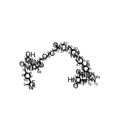 Cc1ncsc1-c1ccc(CNC(=O)[C@@H]2C[C@@H](O)CN2C(=O)C(NC(=O)CCOCCOCCC(=O)N2CCN(Cc3cnc(N4CC=C(c5cc(NC(=O)c6c[nH]c(=O)cc6C(F)(F)F)c(N6C[C@@H](C)N(C)[C@@H](C)C6)cc5F)CC4)nc3)CC2)C(C)(C)C)cc1